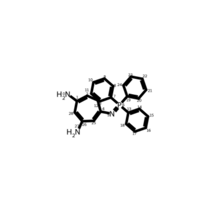 NC1=CCC(N=P(c2ccccc2)(c2ccccc2)c2ccccc2)=CC(N)=C1